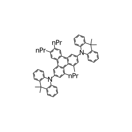 CCCc1cc2c(cc1CCC)c1cc(N3c4ccccc4C(C)(C)c4ccccc43)cc(CCC)c1c1c(C)cc(N3c4ccccc4C(C)(C)c4ccccc43)cc21